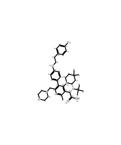 Cc1nc(CN2CCOCC2)c(-c2ccc(OCCc3ccc(F)cc3)cc2)c(N2CCC(C)(C)CC2)c1[C@H](OC(C)(C)C)C(=O)O